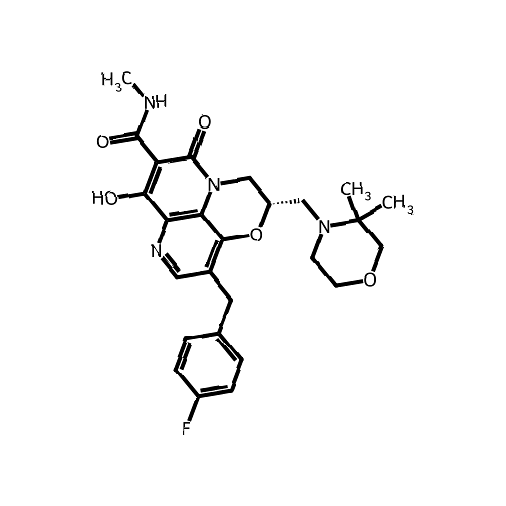 CNC(=O)c1c(O)c2ncc(Cc3ccc(F)cc3)c3c2n(c1=O)C[C@H](CN1CCOCC1(C)C)O3